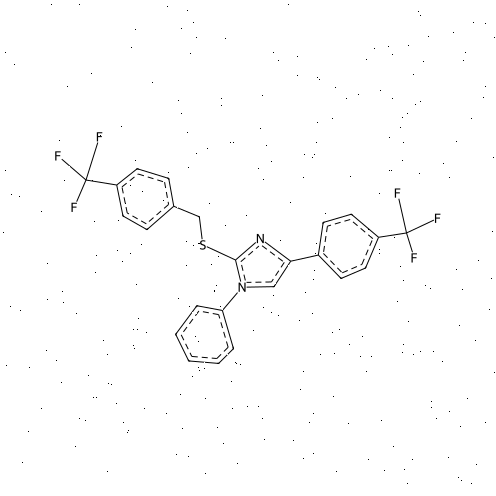 FC(F)(F)c1ccc(CSc2nc(-c3ccc(C(F)(F)F)cc3)cn2-c2ccccc2)cc1